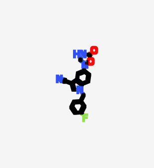 N#Cc1cn(Cc2cccc(F)c2)c2ccc(N3CNC(=O)O3)cc12